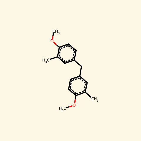 COc1ccc(Cc2ccc(OC)c(C)c2)cc1C